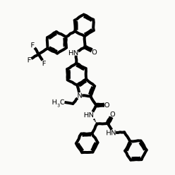 CCn1c(C(=O)N[C@H](C(=O)NCc2ccccc2)c2ccccc2)cc2cc(NC(=O)c3ccccc3-c3ccc(C(F)(F)F)cc3)ccc21